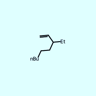 C=CC(CC)CCCCCC